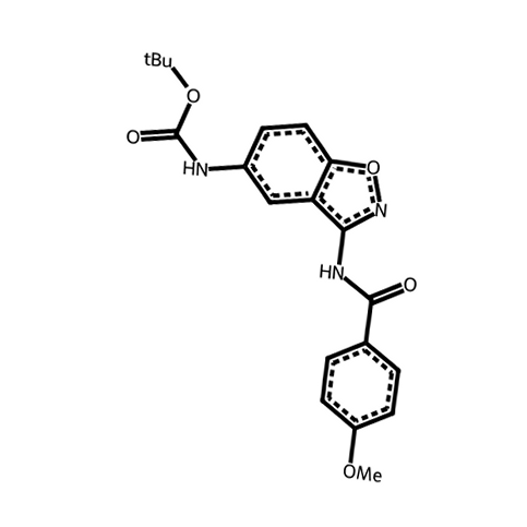 COc1ccc(C(=O)Nc2noc3ccc(NC(=O)OC(C)(C)C)cc23)cc1